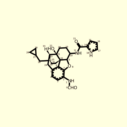 O=CNc1ccc2c3c1OC1C(NC(=O)c4ccc[nH]4)CC[C@@]4(O)[C@@H](C2)N(CC2CC2)CC[C@]314